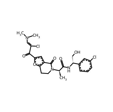 C[C@H](C(=O)N[C@H](CO)c1cccc(Cl)c1)N1CCc2oc(C(=O)C(Cl)=CN(C)C)cc2C1=O